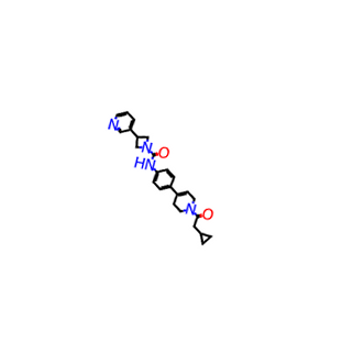 O=C(CC1CC1)N1CC=C(c2ccc(NC(=O)N3CC(c4cccnc4)C3)cc2)CC1